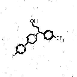 OCCC(c1ccc(C(F)(F)F)cc1)N1CC=C(c2ccc(F)cc2)CC1